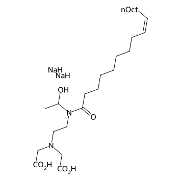 CCCCCCCC/C=C\CCCCCCCC(=O)N(CCN(CC(=O)O)CC(=O)O)C(C)O.[NaH].[NaH]